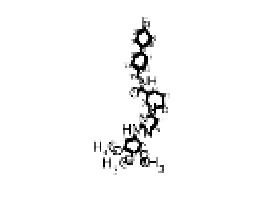 COc1cc(Nc2nccc(N3CCCC(C(=O)NCc4ccc(-c5ccc(F)cc5)cc4)C3)n2)cc(OC)c1OC